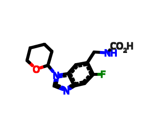 O=C(O)NCc1cc2c(cc1F)ncn2C1CCCCO1